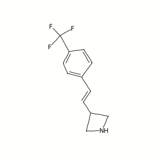 FC(F)(F)c1ccc(/C=C/C2CNC2)cc1